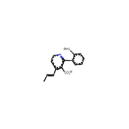 CC=Cc1ccnc(-c2ccccc2OC)c1C(=O)O